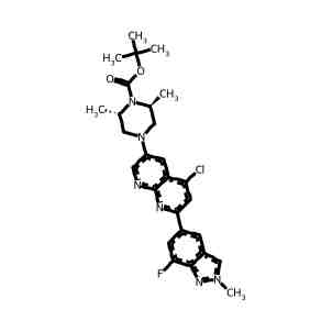 C[C@H]1CN(c2cnc3nc(-c4cc(F)c5nn(C)cc5c4)cc(Cl)c3c2)C[C@H](C)N1C(=O)OC(C)(C)C